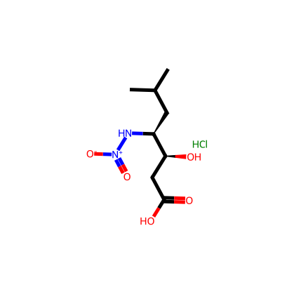 CC(C)C[C@H](N[N+](=O)[O-])[C@@H](O)CC(=O)O.Cl